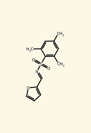 Cc1cc(C)c(S(=O)(=O)/N=C/c2ccco2)c(C)c1